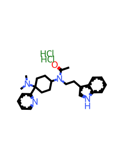 CC(=O)N(CCc1c[nH]c2ccccc12)C1CCC(c2ccccn2)(N(C)C)CC1.Cl.Cl